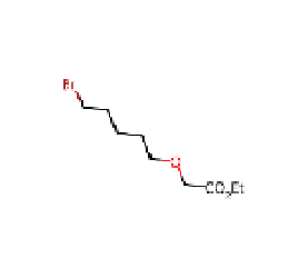 CCOC(=O)COCCCCCBr